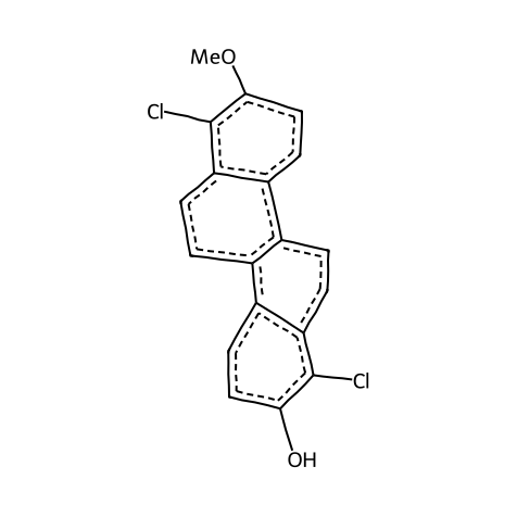 COc1ccc2c(ccc3c4ccc(O)c(Cl)c4ccc23)c1Cl